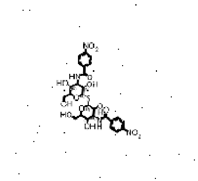 O=C(NC1[C@@H](O)C(CO)O[C@@H](S[C@@H]2OC(CO)[C@H](O)[C@H](NC(=O)c3ccc([N+](=O)[O-])cc3)C2O)[C@@H]1O)c1ccc([N+](=O)[O-])cc1